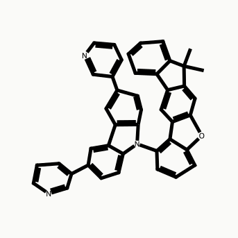 CC1(C)c2ccccc2-c2cc3c(cc21)oc1cccc(-n2c4ccc(-c5cccnc5)cc4c4cc(-c5cccnc5)ccc42)c13